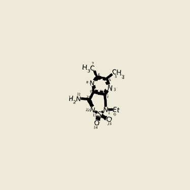 CCN1c2nc(C)c(C)nc2C(N)=NS1(=O)=O